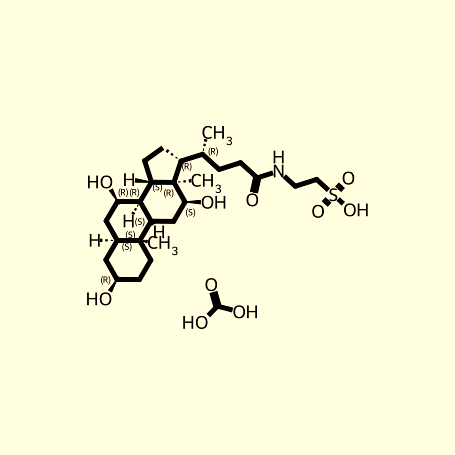 C[C@H](CCC(=O)NCCS(=O)(=O)O)[C@H]1CC[C@H]2[C@@H]3[C@H](O)C[C@@H]4C[C@H](O)CC[C@]4(C)[C@H]3C[C@H](O)[C@]12C.O=C(O)O